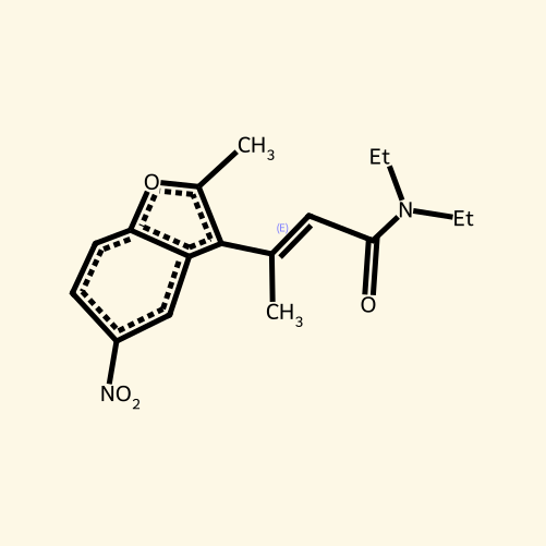 CCN(CC)C(=O)/C=C(\C)c1c(C)oc2ccc([N+](=O)[O-])cc12